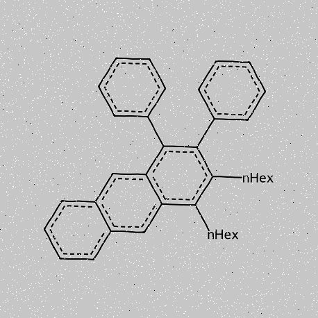 CCCCCCc1c(-c2ccccc2)c(-c2ccccc2)c2cc3ccccc3cc2c1CCCCCC